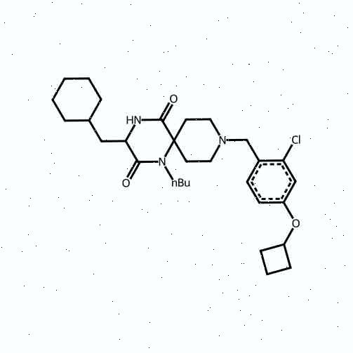 CCCCN1C(=O)C(CC2CCCCC2)NC(=O)C12CCN(Cc1ccc(OC3CCC3)cc1Cl)CC2